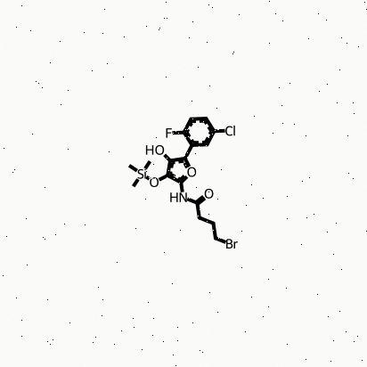 C[Si](C)(C)Oc1c(NC(=O)CCCBr)oc(-c2cc(Cl)ccc2F)c1O